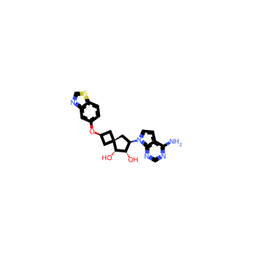 Nc1ncnc2c1ccn2[C@@H]1C[C@]2(C[C@@H](Oc3ccc4scnc4c3)C2)[C@@H](O)[C@H]1O